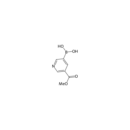 COC(=O)c1cncc(B(O)O)c1